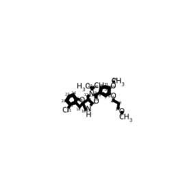 COCCCOc1cc(C(=O)N(CC2CNCC23Cc2c(Cl)cccc2O3)C(C)C)ccc1OC